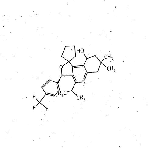 CC(C)c1nc2c(c3c1[C@@H](c1ccc(C(F)(F)F)cc1)OC31CCCC1)C(O)CC(C)(C)C2